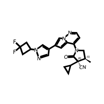 C[C@@H]1CN(c2ccnn3cc(-c4cnn(C5CC(F)(F)C5)c4)cc23)C(=O)[C@]1(C#N)C1CC1